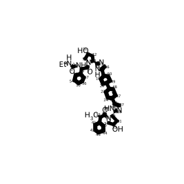 CCNC(=O)N[C@@H](C(=O)N1C[C@H](O)C[C@H]1c1ncc(-c2ccc(-c3ccc(-c4cnc([C@@H]5C[C@@H](O)CN5C(=O)[C@H](C)c5ccccc5)[nH]4)cc3)cc2)[nH]1)c1ccccc1